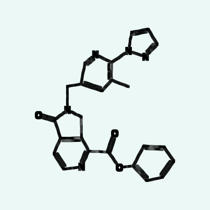 Cc1cc(CN2Cc3c(ccnc3C(=O)Oc3ccccc3)C2=O)cnc1-n1cccn1